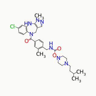 Cc1cc(C(=O)N2Cc3cnn(C)c3Nc3cc(Cl)ccc32)ccc1CNC(=O)ON1CCN(CCC(C)C)CC1